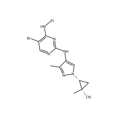 CCNc1nc(Nc2cn([C@@H]3C[C@]3(C)C#N)nc2C)ncc1Br